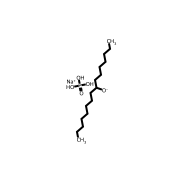 CCCCCCCCC([O-])CCCCCCC.O=P(O)(O)O.[Na+]